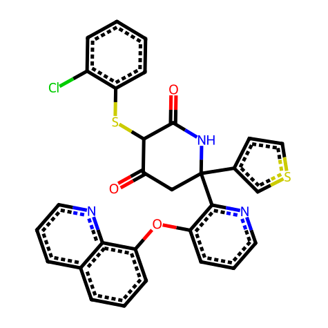 O=C1CC(c2ccsc2)(c2ncccc2Oc2cccc3cccnc23)NC(=O)C1Sc1ccccc1Cl